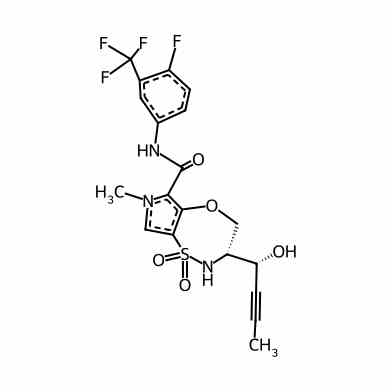 CC#C[C@@H](O)[C@H]1COc2c(cn(C)c2C(=O)Nc2ccc(F)c(C(F)(F)F)c2)S(=O)(=O)N1